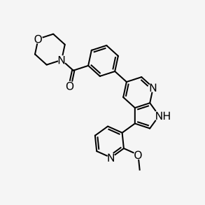 COc1ncccc1-c1c[nH]c2ncc(-c3cccc(C(=O)N4CCOCC4)c3)cc12